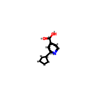 O=C(O)c1ccnc(C2CCCC2)c1